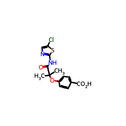 CC(C)(Oc1ccc(C(=O)O)cc1)C(=O)Nc1ncc(Cl)s1